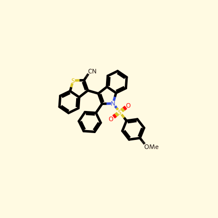 COc1ccc(S(=O)(=O)n2c(-c3ccccc3)c(-c3c(C#N)sc4ccccc34)c3ccccc32)cc1